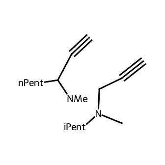 C#CC(CCCCC)NC.C#CCN(C)C(C)CCC